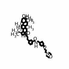 C=C(C)[C@@H]1CC[C@]2(C(=O)NCCc3cccc(C(=O)NCc4ccc(OCCCN5CCOCC5)cc4)c3)CC[C@]3(C)C(CCC4[C@@]5(C)CC[C@H](O)C(C)(C)C5CC[C@]43C)C12